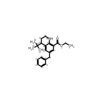 CCOC(=O)c1cc(Cc2ccccc2)cc2c1NCCC2C(C)(C)C